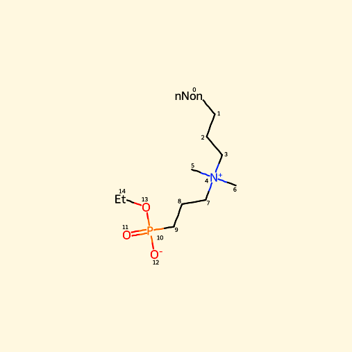 CCCCCCCCCCCC[N+](C)(C)CCCP(=O)([O-])OCC